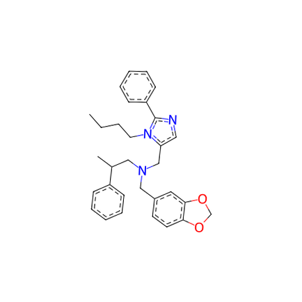 CCCCn1c(CN(Cc2ccc3c(c2)OCO3)CC(C)c2ccccc2)cnc1-c1ccccc1